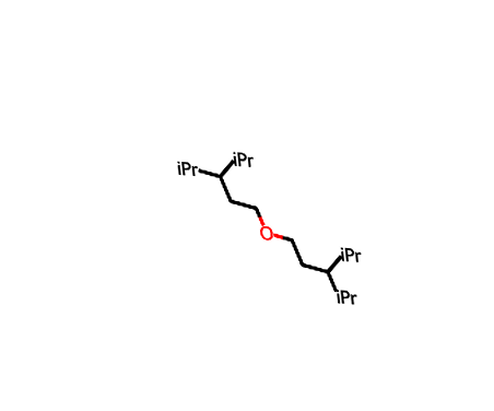 CC(C)C(CCOCCC(C(C)C)C(C)C)C(C)C